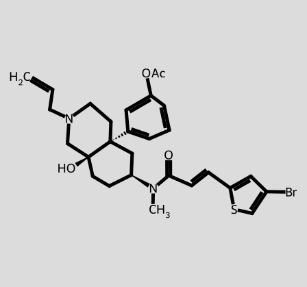 C=CCN1CC[C@@]2(c3cccc(OC(C)=O)c3)C[C@@H](N(C)C(=O)/C=C/c3cc(Br)cs3)CC[C@]2(O)C1